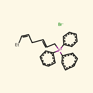 CC/C=C\C/C=C/C[P+](c1ccccc1)(c1ccccc1)c1ccccc1.[Br-]